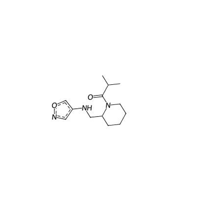 CC(C)C(=O)N1CCCCC1CNc1cnoc1